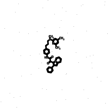 Cc1cc(C)nc(N(C)CCCc2ccc(NC(=O)C(=O)c3c(-c4ccccc4)cc4ccccn34)cc2)c1